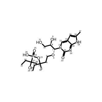 CCC(F)(CCO[C@H]([C@H](O)CO)n1cc2cc(C)[nH]c2nc1=O)OP(=O)(O)C(C)(O)CC